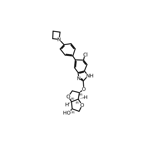 O[C@@H]1CO[C@H]2[C@@H]1OC[C@H]2Oc1nc2cc(-c3ccc(N4CCC4)cc3)c(Cl)cc2[nH]1